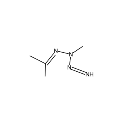 CC(C)=NN(C)N=N